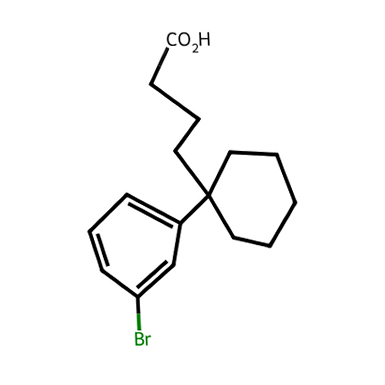 O=C(O)CCCC1(c2cccc(Br)c2)CCCCC1